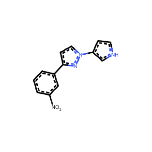 O=[N+]([O-])c1cccc(-c2ccn(-c3cc[nH]c3)n2)c1